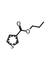 CCCOC(=O)c1ccsc1